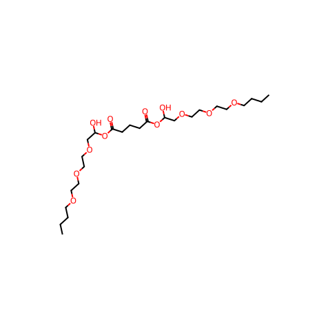 CCCCOCCOCCOCC(O)OC(=O)CCCC(=O)OC(O)COCCOCCOCCCC